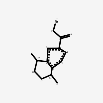 C=C(CBr)c1ccc2c(c1)C(C)CCC2C